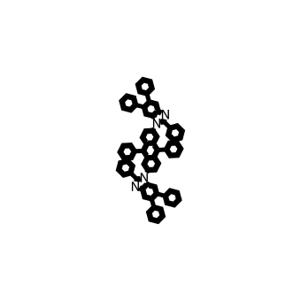 c1ccc(-c2cc3nc(-c4ccccc4)n(-c4ccc5c(-c6ccccc6)c6cc(-n7c(-c8ccccc8)nc8cc(-c9ccccc9)c(-c9ccccc9)cc87)ccc6c(-c6ccccc6)c5c4)c3cc2-c2ccccc2)cc1